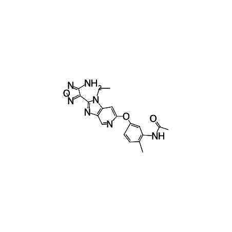 CCn1c(-c2nonc2N)nc2cnc(Oc3ccc(C)c(NC(C)=O)c3)cc21